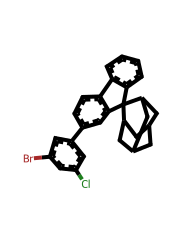 Clc1cc(Br)cc(-c2ccc3c(c2)C2(c4ccccc4-3)C3CC4CC(C3)CC2C4)c1